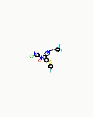 O=C(c1ccnc(Cl)c1)N1CC2(CCN(C/C=C/c3ccc(F)c(F)c3)CC2)c2cc(Sc3ccc(F)cc3)ccc21